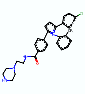 O=C(NCCN1CCNCC1)c1ccc(-c2ccc(-c3ccc(Cl)cc3)n2-c2ccccc2C(F)(F)F)cc1